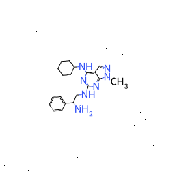 Cn1ncc2c(NC3CCCCC3)nc(NC[C@H](N)c3ccccc3)nc21